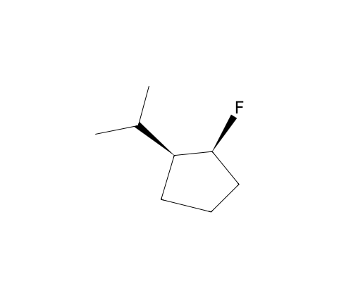 CC(C)[C@@H]1CCC[C@@H]1F